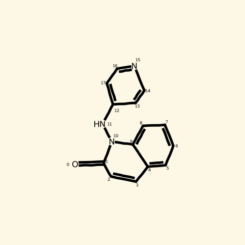 O=c1ccc2ccccc2n1Nc1ccncc1